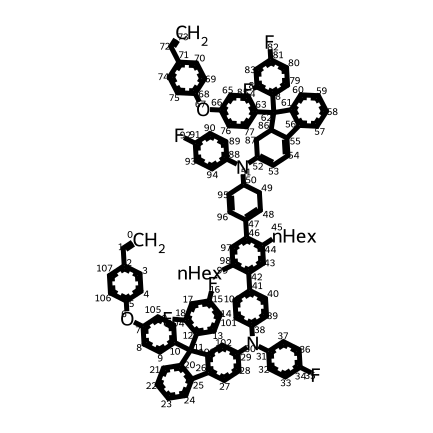 C=Cc1ccc(Oc2ccc(C3(c4ccc(F)cc4F)c4ccccc4-c4ccc(N(c5ccc(F)cc5)c5ccc(-c6cc(CCCCCC)c(C7=CCC(N(C8=CC=C9c%10ccccc%10C(c%10ccc(Oc%11ccc(C=C)cc%11)cc%10)(c%10ccc(F)cc%10F)C9C8)c8ccc(F)cc8)C=C7)cc6CCCCCC)cc5)cc43)cc2)cc1